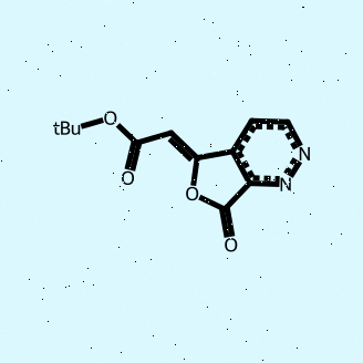 CC(C)(C)OC(=O)/C=C1\OC(=O)c2nnccc21